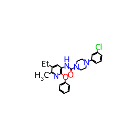 CCc1cc(NC(=O)N2CCN(c3cccc(Cl)c3)CC2)c(Oc2ccccc2)nc1C